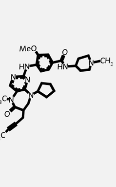 CC#CCC1CN(C2CCCC2)c2nc(Nc3ccc(C(=O)NC4CCN(C)CC4)cc3OC)ncc2N(C)C1=O